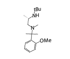 COc1ccccc1C(C)(C)N(C)C[C@H](C)NC(C)(C)C